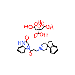 O=C(O)CC(O)(CC(=O)O)C(=O)O.O=C1CN(C(=O)CCN2CCC3(CCc4ccccc43)CC2)c2ccccc2N1